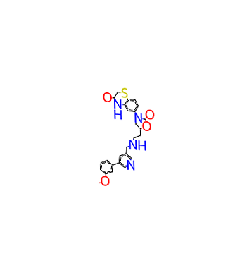 COc1cccc(-c2cncc(CNCCC3CN(c4ccc5c(c4)NC(=O)CS5)C(=O)O3)c2)c1